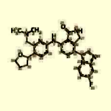 CN(C)Cc1nc(Nc2ccc(-c3cnc4cc(F)ccn34)c3c2C(=O)NC3)ccc1C1CCCO1